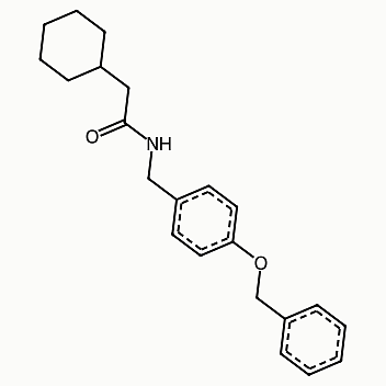 O=C(CC1CCCCC1)NCc1ccc(OCc2ccccc2)cc1